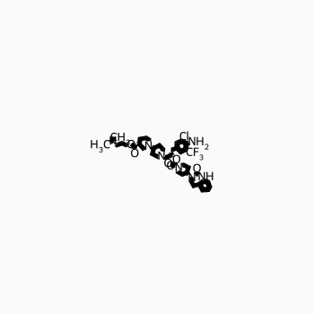 CN(C)CCCOC(=O)[C@H]1CCCN(C2CCN(C(=O)[C@@H](Cc3cc(Cl)c(N)c(C(F)(F)F)c3)OC(=O)N3CCC(N4CCc5ccccc5NC4=O)CC3)CC2)C1